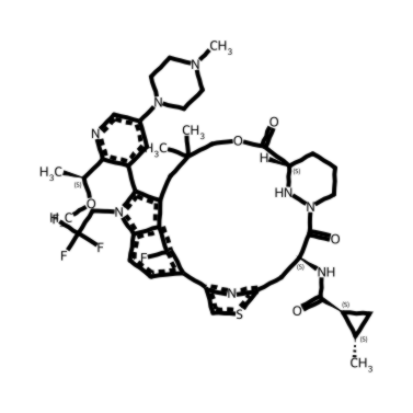 CO[C@@H](C)c1ncc(N2CCN(C)CC2)cc1-c1c2c3c(F)c(ccc3n1CC(F)(F)F)-c1csc(n1)C[C@H](NC(=O)[C@H]1C[C@@H]1C)C(=O)N1CCC[C@H](N1)C(=O)OCC(C)(C)C2